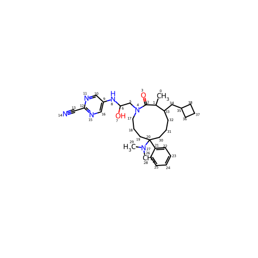 CC1C(=O)N(CC(O)Nc2cnc(C#N)nc2)CCCC(c2ccccc2)(N(C)C)CCCC1CC1CCC1